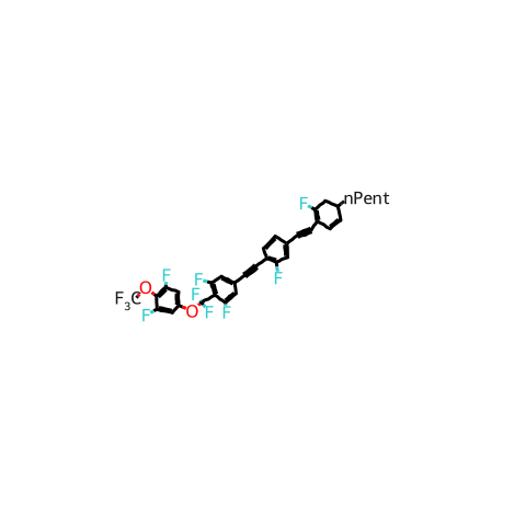 CCCCCC1C=CC(C#Cc2ccc(C#Cc3cc(F)c(C(F)(F)Oc4cc(F)c(OC(F)(F)F)c(F)c4)c(F)c3)c(F)c2)=C(F)C1